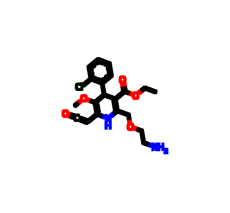 CCOC(=O)C1=C(COCCN)NC(C=C=O)=C(OC)C1c1ccccc1Cl